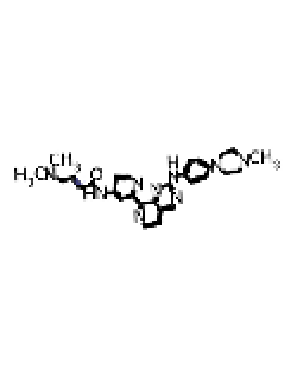 CN(C)C/C=C/C(=O)Nc1ccnc(-c2nccc3cnc(Nc4ccc(N5CCN(C)CC5)cc4)nc23)c1